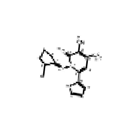 CC1CCCC1=Nn1c(-c2cccs2)cc(C(F)(F)F)c(C#N)c1=O